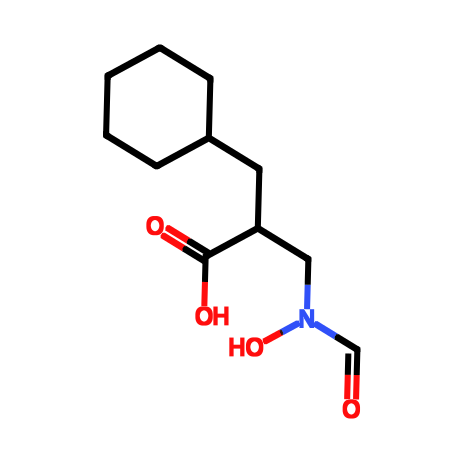 O=CN(O)CC(CC1CCCCC1)C(=O)O